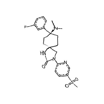 CN(C)[C@]1(c2cccc(F)c2)CC[C@]2(CC1)CN(c1ccc(S(C)(=O)=O)cn1)C(=O)N2